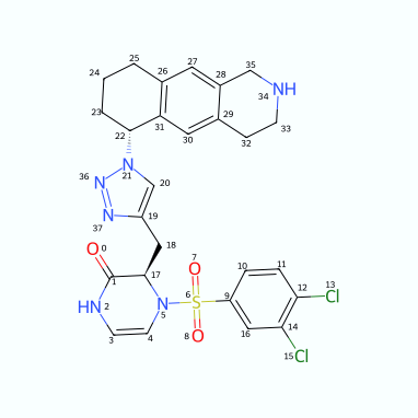 O=C1NC=CN(S(=O)(=O)c2ccc(Cl)c(Cl)c2)[C@@H]1Cc1cn([C@@H]2CCCc3cc4c(cc32)CCNC4)nn1